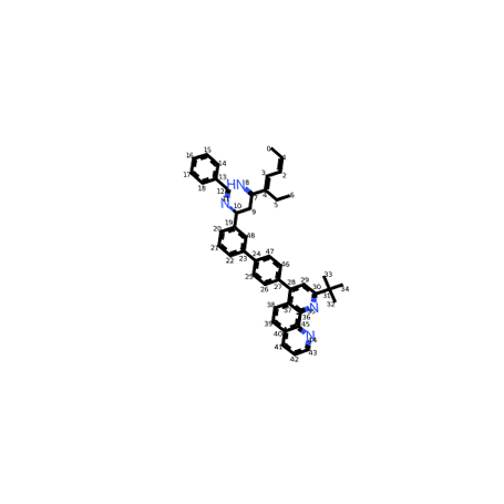 C/C=C\C=C(/CC)C(=N)CC(/N=C/c1ccccc1)c1cccc(-c2ccc(-c3cc(C(C)(C)C)nc4c3ccc3cccnc34)cc2)c1